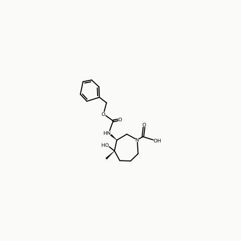 C[C@]1(O)CCCN(C(=O)O)C[C@@H]1NC(=O)OCc1ccccc1